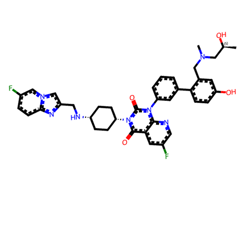 C[C@H](O)CN(C)Cc1cc(O)ccc1-c1cccc(-n2c(=O)n([C@H]3CC[C@@H](NCc4cn5cc(F)ccc5n4)CC3)c(=O)c3cc(F)cnc32)c1